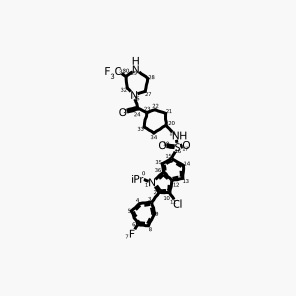 CC(C)n1c(-c2ccc(F)cc2)c(Cl)c2ccc(S(=O)(=O)NC3CCC(C(=O)N4CCNC(C(F)(F)F)C4)CC3)cc21